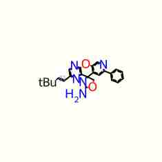 CC(C)(C)/C=C/c1cnc2c(n1)C1(COC(N)=N1)c1cc(-c3ccccc3)ncc1O2